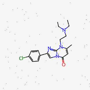 CCN(CC)CCn1c(C)cc(=O)n2cc(-c3ccc(Cl)cc3)nc12